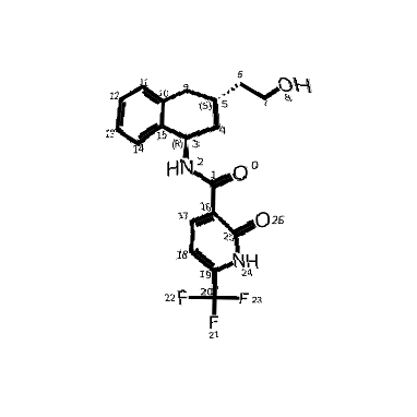 O=C(N[C@@H]1C[C@@H](CCO)Cc2ccccc21)c1ccc(C(F)(F)F)[nH]c1=O